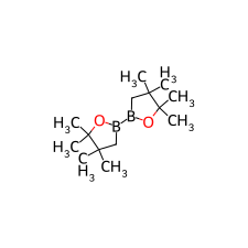 CC1(C)CB(B2CC(C)(C)C(C)(C)O2)OC1(C)C